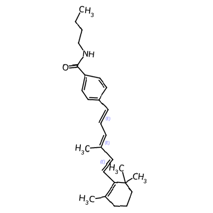 CCCCNC(=O)c1ccc(/C=C/C=C(C)/C=C/C2=C(C)CCCC2(C)C)cc1